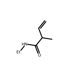 C=CC(C)C(=O)NCC